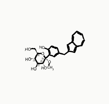 CO[C@@]1(c2cc(Cc3cc4cccccc-4c3)ccc2O)O[C@H](CO)[C@@H](O)[C@H](O)[C@H]1O